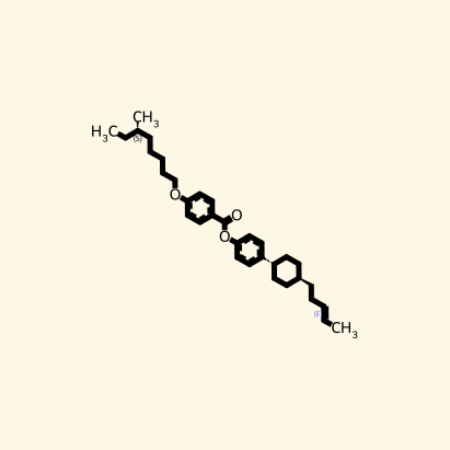 C/C=C/CC[C@H]1CC[C@H](c2ccc(OC(=O)c3ccc(OCCCCC[C@@H](C)CC)cc3)cc2)CC1